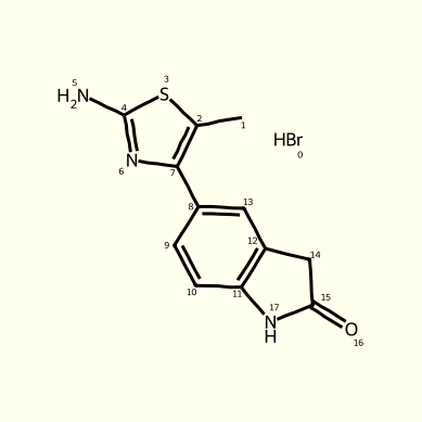 Br.Cc1sc(N)nc1-c1ccc2c(c1)CC(=O)N2